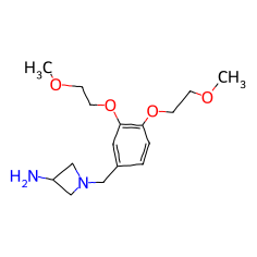 COCCOc1ccc(CN2CC(N)C2)cc1OCCOC